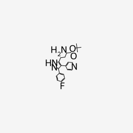 CC(C)(C)OC(=O)[C@@H](N)CCc1[nH]nc(-c2ccc(F)cc2)c1-c1ccncc1